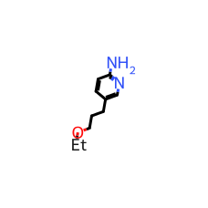 CCOCCCc1ccc(N)nc1